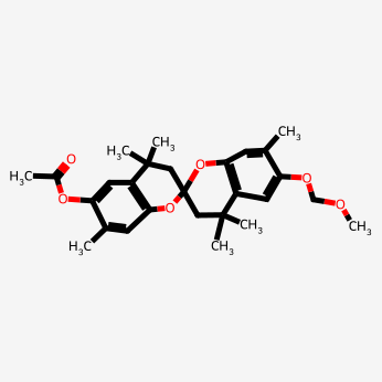 COCOc1cc2c(cc1C)OC1(CC2(C)C)CC(C)(C)c2cc(OC(C)=O)c(C)cc2O1